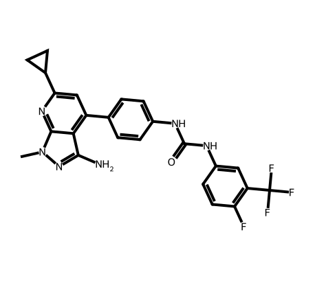 Cn1nc(N)c2c(-c3ccc(NC(=O)Nc4ccc(F)c(C(F)(F)F)c4)cc3)cc(C3CC3)nc21